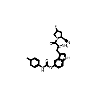 CC1C=CC(NC(=O)Oc2ccc3[nH]cc(C[C@H](N)C(=O)N4CC(F)CC4C#N)c3c2)=CC1